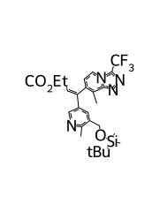 CCOC(=O)/C=C(/c1cnc(C)c(CO[Si](C)(C)C(C)(C)C)c1)c1ccn2c(C(F)(F)F)nnc2c1C